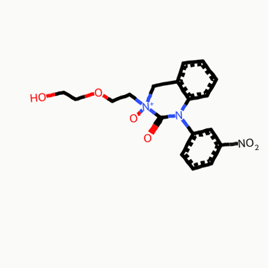 O=C1N(c2cccc([N+](=O)[O-])c2)c2ccccc2C[N+]1([O-])CCOCCO